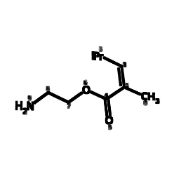 CC(=CC(C)C)C(=O)OCCN